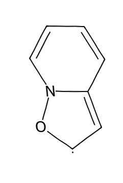 [CH]1C=C2C=CC=CN2O1